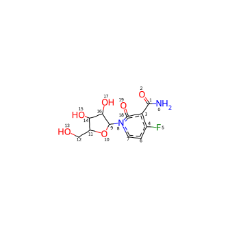 NC(=O)c1c(F)ccn(C2OC(CO)C(O)C2O)c1=O